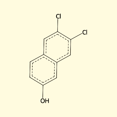 Oc1ccc2cc(Cl)c(Cl)cc2c1